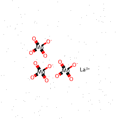 [La+3].[O]=[Mn](=[O])(=[O])[O-].[O]=[Mn](=[O])(=[O])[O-].[O]=[Mn](=[O])(=[O])[O-]